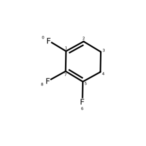 FC1=CCCC(F)=C1F